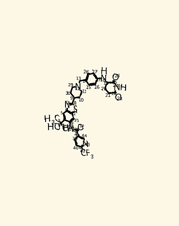 CC(C)(O)c1cc2nc(C3CCN(Cc4ccc(NC5CCC(=O)NC5=O)cc4)CC3)sc2cc1NC(=O)c1ccc(C(F)(F)F)nc1